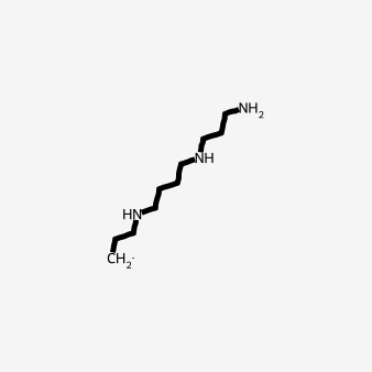 [CH2]CCNCCCCNCCCN